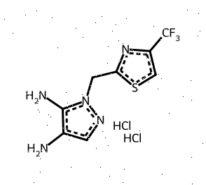 Cl.Cl.Nc1cnn(Cc2nc(C(F)(F)F)cs2)c1N